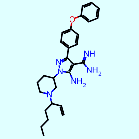 C=CC(CCCC)N1CCCC(n2nc(-c3ccc(Oc4ccccc4)cc3)c(C(=N)N)c2N)C1